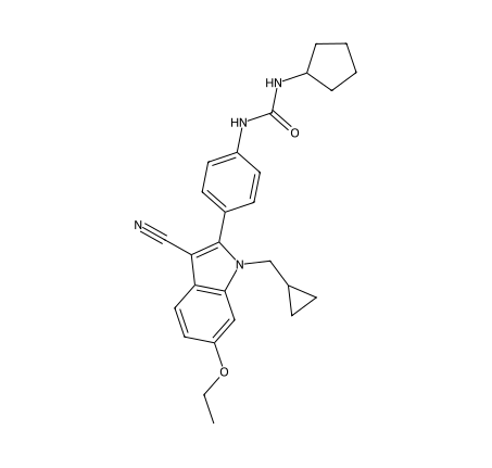 CCOc1ccc2c(C#N)c(-c3ccc(NC(=O)NC4CCCC4)cc3)n(CC3CC3)c2c1